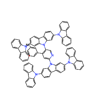 N#Cc1cccc(-c2cc(-n3c4cc(-n5c6ccccc6c6ccccc65)ccc4c4ccc(-n5c6ccccc6c6ccccc65)cc43)ncc2-n2c3cc(-n4c5ccccc5c5ccccc54)ccc3c3ccc(-n4c5ccccc5c5ccccc54)cc32)c1